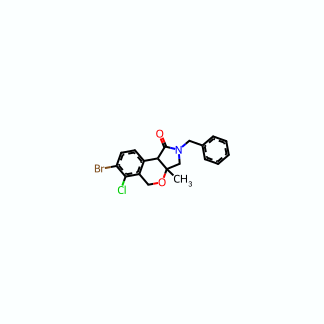 CC12CN(Cc3ccccc3)C(=O)C1c1ccc(Br)c(Cl)c1CO2